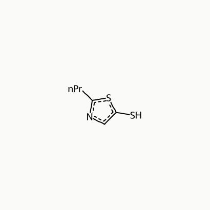 CCCc1ncc(S)s1